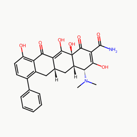 CN(C)[C@H]1C(O)=C(C(N)=O)C(=O)[C@@]2(O)C(O)=C3C(=O)c4c(O)ccc(-c5ccccc5)c4C[C@H]3C[C@@H]12